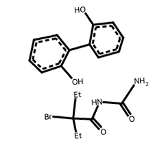 CCC(Br)(CC)C(=O)NC(N)=O.Oc1ccccc1-c1ccccc1O